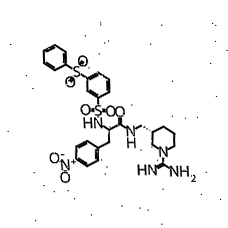 N=C(N)N1CCC[C@@H](CNC(=O)[C@@H](Cc2ccc([N+](=O)[O-])cc2)NS(=O)(=O)c2cccc(S(=O)(=O)c3ccccc3)c2)C1